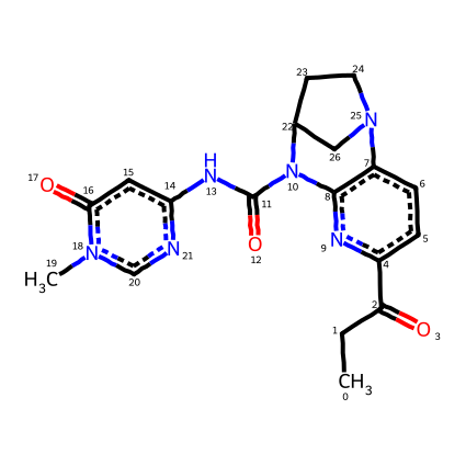 CCC(=O)c1ccc2c(n1)N(C(=O)Nc1cc(=O)n(C)cn1)C1CCN2C1